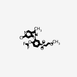 COCCS(=O)(=O)c1ccc(OC(F)F)c(-n2nc(C)c3cnc(Cl)cc32)c1